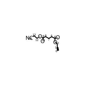 C#CCOC(=O)CCCC(=O)OCCC#N